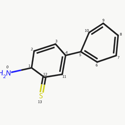 NC1C=CC(c2ccccc2)=CC1=S